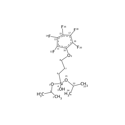 CC(C)O[Si](O)(CCCOc1c(F)c(F)c(F)c(F)c1F)OC(C)C